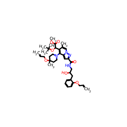 C=CCOc1ccccc1CC(O)CNC(=O)c1cc2c(N3CCC(C)(OCC=C)CC3)c(C(OC(C)(C)C)C(=O)OC)c(C)cn2n1